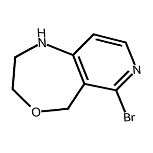 Brc1nccc2c1COCCN2